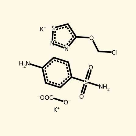 ClCOc1csnn1.Nc1ccc(S(N)(=O)=O)cc1.O=C([O-])[O-].[K+].[K+]